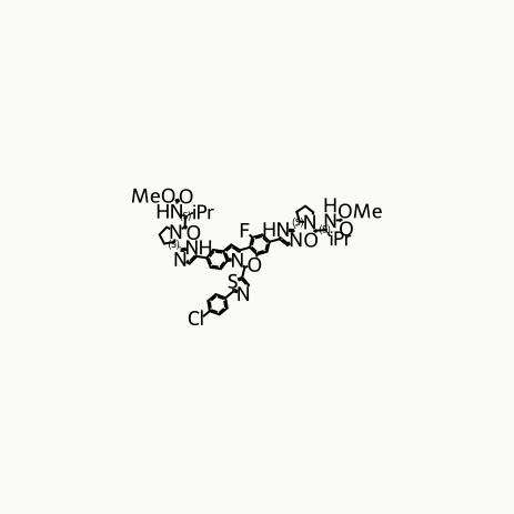 COC(=O)N[C@H](C(=O)N1CCC[C@H]1c1ncc(-c2cc(F)c3c(c2)OC(c2cnc(-c4ccc(Cl)cc4)s2)n2c-3cc3cc(-c4cnc([C@@H]5CCCN5C(=O)[C@@H](NC(=O)OC)C(C)C)[nH]4)ccc32)[nH]1)C(C)C